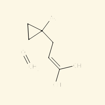 C=O.CC(=O)C1(CC=C(C)C)CC1